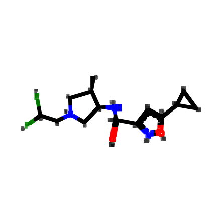 C[C@@H]1CN(CC(F)F)C[C@@H]1NC(=O)c1cc(C2CC2)on1